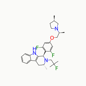 C[C@@H]1CCN([C@@H](C)COc2cc(F)c([C@@H]3c4[nH]c5ccccc5c4C[C@@H](C)N3CC(C)(C)F)c(F)c2)C1